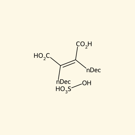 CCCCCCCCCC/C(C(=O)O)=C(\CCCCCCCCCC)C(=O)O.O=S(=O)(O)O